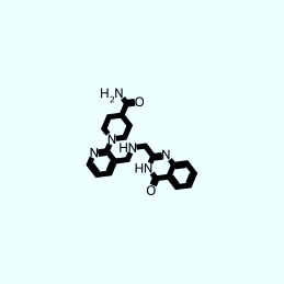 NC(=O)C1CCN(c2ncccc2CNCc2nc3ccccc3c(=O)[nH]2)CC1